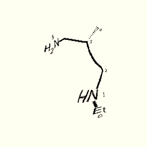 CCNC[C@@H](C)N